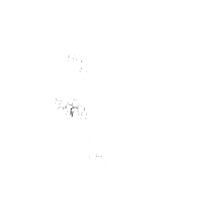 CCCCCCCCCCCCCCCCCCCCOCCO.COC(=O)P(=O)(O)O